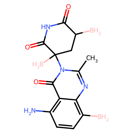 Bc1ccc(N)c2c(=O)n(C3(B)CC(B)C(=O)NC3=O)c(C)nc12